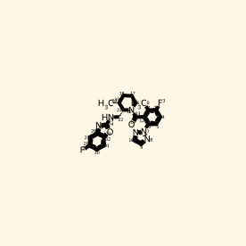 Cc1c(F)ccc(-n2nccn2)c1C(=O)N1CCC[C@@H](C)[C@H]1CNc1nc2cc(F)ccc2o1